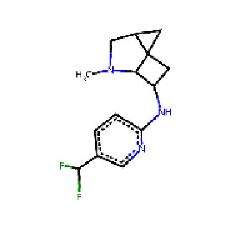 CN1CC2CC23CC(Nc2ccc(C(F)F)cn2)C13